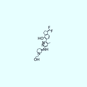 Cc1cc(N[C@@H]2CCCN(CCO)C2)nnc1-c1ccc2c(c1O)CCC2=C(F)F